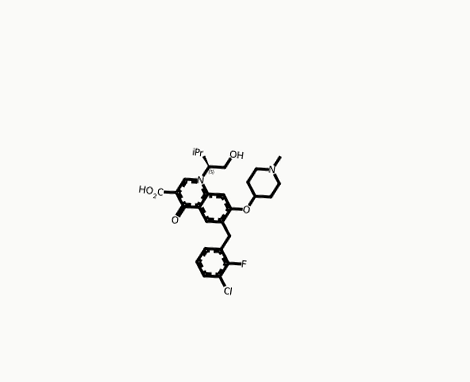 CC(C)[C@@H](CO)n1cc(C(=O)O)c(=O)c2cc(Cc3cccc(Cl)c3F)c(OC3CCN(C)CC3)cc21